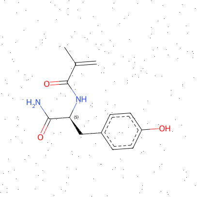 C=C(C)C(=O)N[C@@H](Cc1ccc(O)cc1)C(N)=O